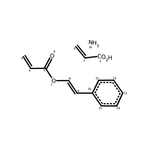 C=CC(=O)O.C=CC(=O)OC=Cc1ccccc1.N